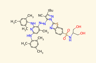 Cc1cc(C)c(Nc2cc(C)c(N=Nc3c(C#N)c(C(C)(C)C)nn3-c3nc4ccc(S(=O)(=O)NC(CO)CO)cc4s3)c(Nc3c(C)cc(C)cc3C)n2)c(C)c1